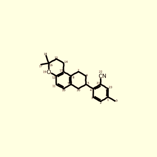 Cc1ccc(C2CCc3c(ccc4c3CCC(C)(C)O4)C2)c(C#N)c1